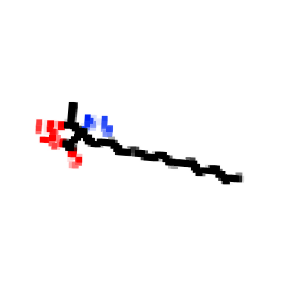 CCCCCCCCCCCCC(N)(C(=O)O)C(C)O